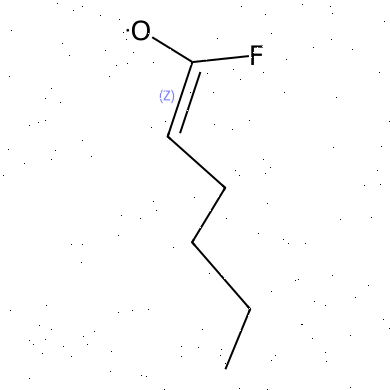 CCCC/C=C(/[O])F